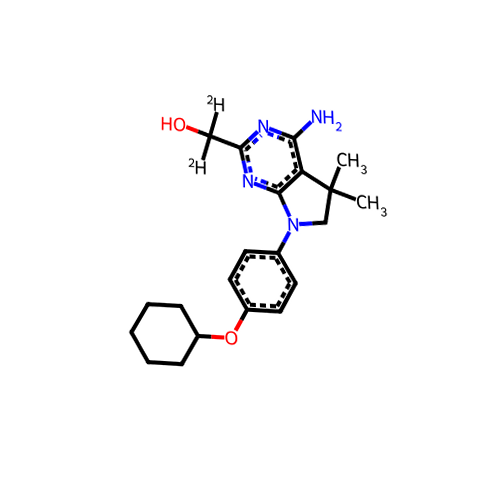 [2H]C([2H])(O)c1nc(N)c2c(n1)N(c1ccc(OC3CCCCC3)cc1)CC2(C)C